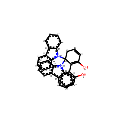 OC1=C(c2ccccc2O)C(n2c3ccccc3c3ccccc32)(n2c3ccccc3c3ccccc32)CC=C1